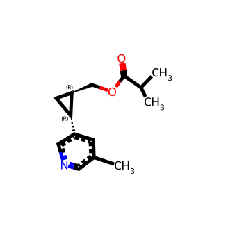 Cc1cncc([C@@H]2C[C@H]2COC(=O)C(C)C)c1